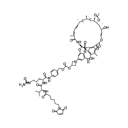 CC(=O)O[C@@H]1[C@H](C)[C@@H](O)/C=C/O[C@@]2(C)Oc3c(C)c(O)c4c(=O)c(c5oc6cc(N7CC(OC(=O)OCc8ccc(NC(=O)[C@H](CCCNC(N)=O)NC(=O)[C@@H](NC(=O)CCCCCN9C(=O)C=CC9=O)C(C)C)cc8)C7)cc(O)c6nc-5c4c3C2=O)NC(=O)/C(C)=C\C=C\[C@H](C)C[C@@H](C)C[C@H]1C